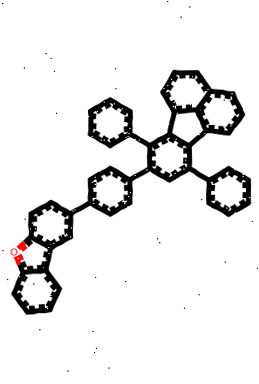 c1ccc(-c2cc(-c3ccc(-c4ccc5oc6ccccc6c5c4)cc3)c(-c3ccccc3)c3c2-c2cccc4cccc-3c24)cc1